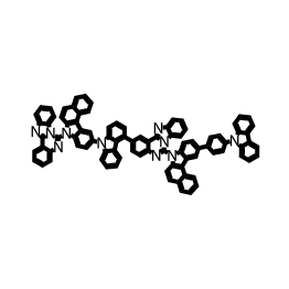 c1ccc2c(c1)ccc1c2c2cc(-n3c4ccccc4c4c(-c5ccc6nc(-n7c8ccc(-c9ccc(-n%10c%11ccccc%11c%11ccccc%11%10)cc9)cc8c8c9ccccc9ccc87)n7c8ccccc8nc7c6c5)cccc43)ccc2n1-c1nc2ccccc2c2nc3ccccc3n12